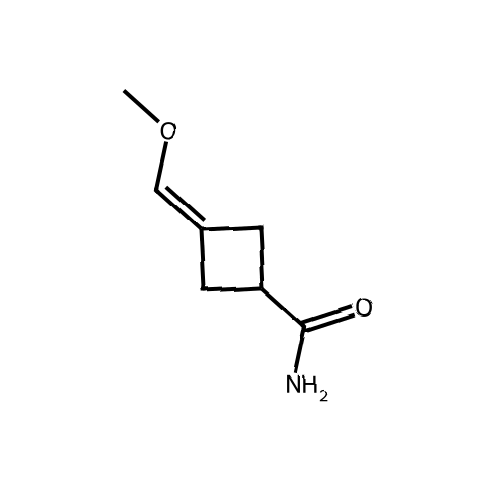 COC=C1CC(C(N)=O)C1